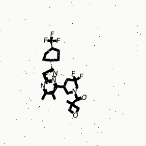 Cc1nc2cc([C@H]3CC[C@H](C(F)(F)F)CC3)nn2c(C2CN(C(=O)C3(C)COC3)CC(F)(F)C2)c1C